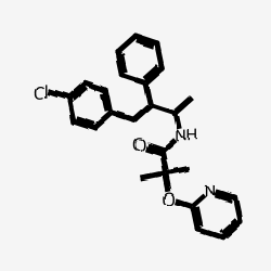 CC(NC(=O)C(C)(C)Oc1ccccn1)C(Cc1ccc(Cl)cc1)c1ccccc1